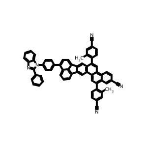 Cc1cc(C#N)ccc1-c1cc2c3cc4c(cc3c(-c3ccc(C#N)cc3C)cc2c2ccc(C#N)cc12)-c1ccc(-c2ccc(-n3c(-c5ccccc5)nc5ccccc53)cc2)c2cccc-4c12